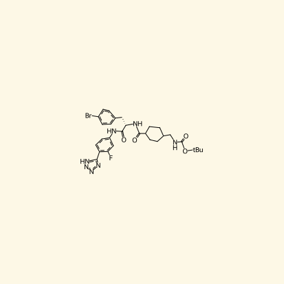 CC(C)(C)OC(=O)NCC1CCC(C(=O)N[C@@H](Cc2ccc(Br)cc2)C(=O)Nc2ccc(-c3nnn[nH]3)c(F)c2)CC1